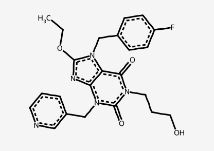 CCOc1nc2c(c(=O)n(CCCO)c(=O)n2Cc2cccnc2)n1Cc1ccc(F)cc1